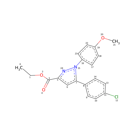 CCOC(=O)c1cc(-c2ccc(Cl)cc2)n(-c2ccc(OC)cc2)n1